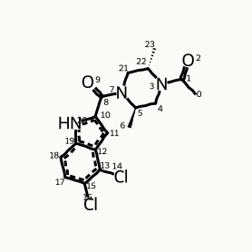 CC(=O)N1C[C@@H](C)N(C(=O)c2cc3c(Cl)c(Cl)ccc3[nH]2)C[C@@H]1C